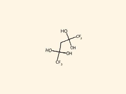 OC(O)(CC(O)(O)C(F)(F)F)C(F)(F)F